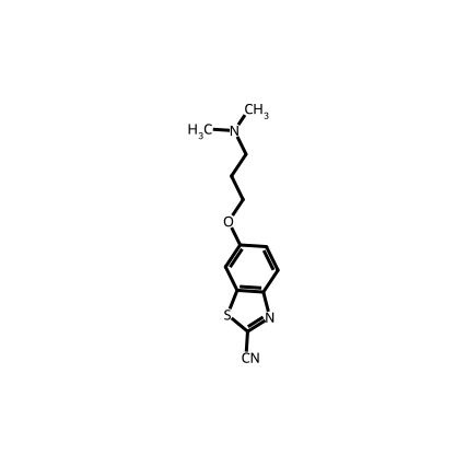 CN(C)CCCOc1ccc2nc(C#N)sc2c1